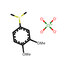 COc1ccc([S+](C)C)cc1OC.[O-][Cl+3]([O-])([O-])[O-]